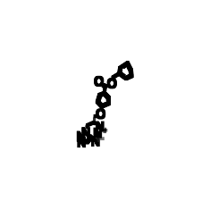 [N-]=[N+]=N[C@@H](COc1ccc(C(=O)OCc2ccccc2)cc1)Cn1ccnn1